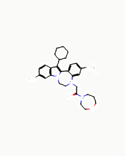 CC(=O)c1ccc2c(C3CCCCC3)c3n(c2c1)CCN(CC(=O)N1CCCOCC1)c1cc(C)ccc1-3